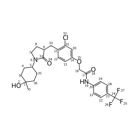 CC1(O)CCC(N2CCC(Cc3ccc(OCC(=O)Nc4ccc(C(F)(F)F)cc4)cc3Cl)C2=O)CC1